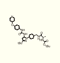 C[C@@H](NC(=O)OC(C)(C)C)C(=O)NCc1ccc(-n2nc(C(C)(C)C)cc2NC(=O)Nc2ccc(Oc3ccncc3)cc2)cc1